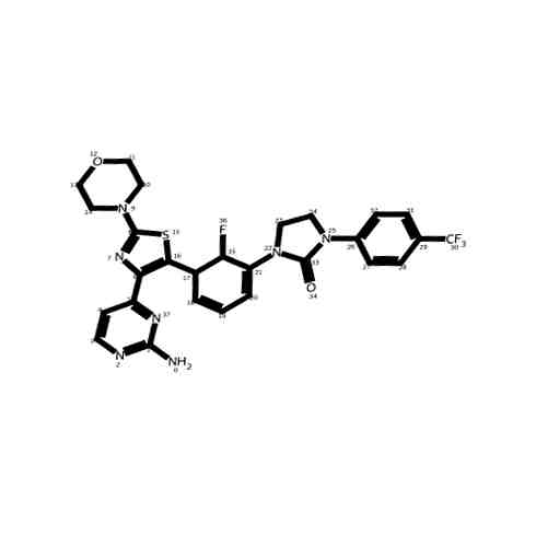 Nc1nccc(-c2nc(N3CCOCC3)sc2C2C=CC=C(N3CCN(c4ccc(C(F)(F)F)cc4)C3=O)C2F)n1